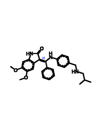 COc1cc2c(cc1OC)/C(=C(/Nc1ccc(CNCC(C)C)cc1)c1ccccc1)C(=O)N2